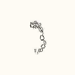 O=C(Nc1noc2ncccc12)N1CCN(Cc2cccc(Oc3ccc(OC(F)(F)F)cc3)c2)CC1